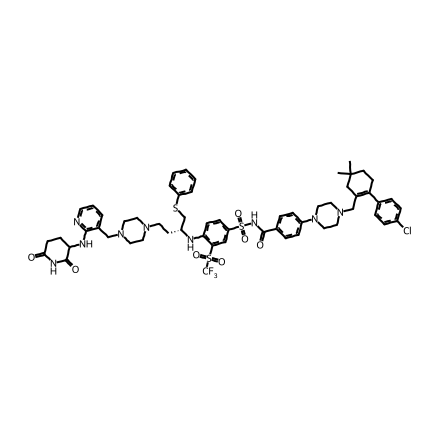 CC1(C)CCC(c2ccc(Cl)cc2)=C(CN2CCN(c3ccc(C(=O)NS(=O)(=O)c4ccc(N[C@H](CCN5CCN(Cc6cccnc6NC6CCC(=O)NC6=O)CC5)CSc5ccccc5)c(S(=O)(=O)C(F)(F)F)c4)cc3)CC2)C1